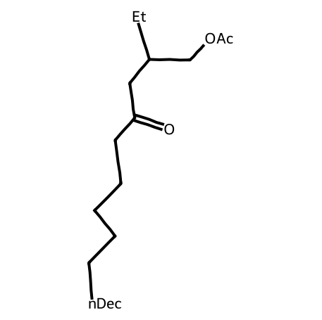 CCCCCCCCCCCCCCCC(=O)CC(CC)COC(C)=O